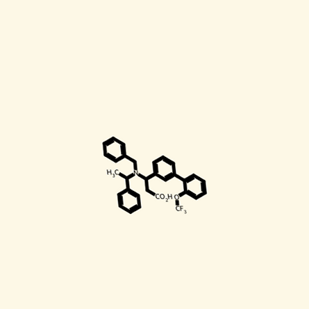 CC(c1ccccc1)N(Cc1ccccc1)C(CC(=O)O)c1cccc(-c2ccccc2OC(F)(F)F)c1